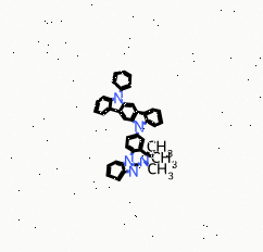 CN1c2nc3ccccc3n2-c2ccc(-n3c4ccccc4c4cc5c(cc43)c3ccccc3n5-c3ccccc3)cc2C1(C)C